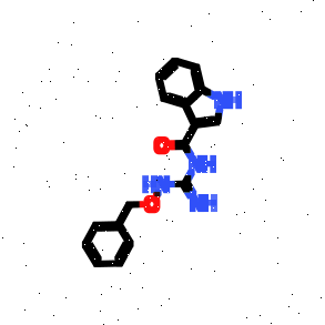 N=C(NOCc1ccccc1)NC(=O)c1c[nH]c2ccccc12